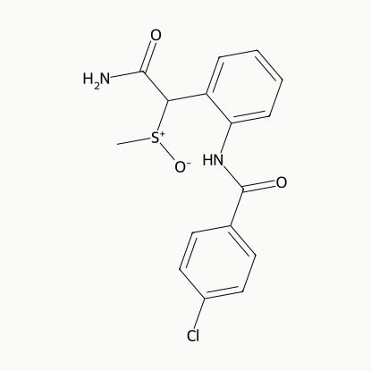 C[S+]([O-])C(C(N)=O)c1ccccc1NC(=O)c1ccc(Cl)cc1